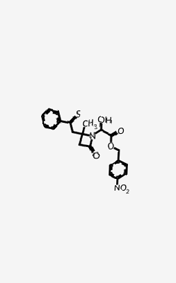 CC1(CC(=S)c2ccccc2)CC(=O)N1C(O)C(=O)OCc1ccc([N+](=O)[O-])cc1